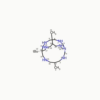 CC1CNC[N@]2CNCCNC[C@](C(C)(C)C)(CNC1)CNCC(C)CNC2